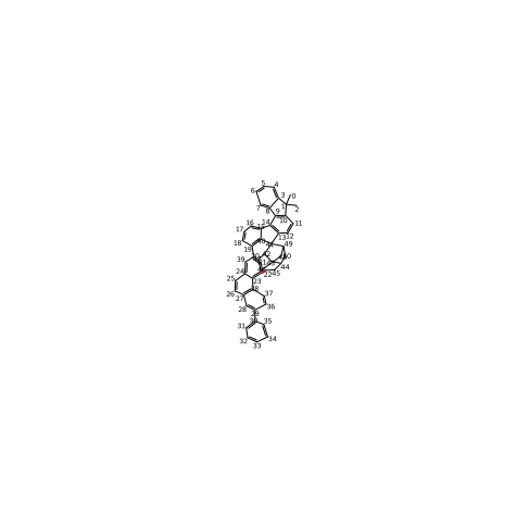 CC1(C)c2ccccc2-c2c1ccc1c2-c2cccc(-c3ccc4c(ccc5cc(-c6ccccc6)ccc54)c3)c2C12C1CC3CC(C1)CC2C3